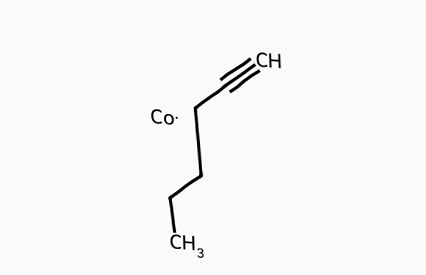 C#CCCCC.[Co]